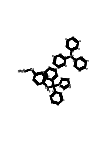 CCCCCOc1ccc([SiH2]C(c2ccccc2)(c2ccccc2)n2ccnc2)cc1.c1ccc(B(c2ccccc2)c2ccccc2)cc1